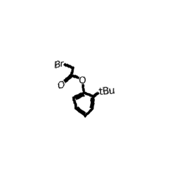 CC(C)(C)c1ccccc1OC(=O)CBr